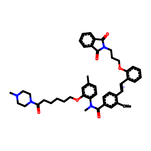 COc1cc(C(=O)N(C)c2ccc(C)cc2OCCCCCC(=O)N2CCN(C)CC2)ccc1/C=C/c1ccccc1OCCCN1C(=O)c2ccccc2C1=O